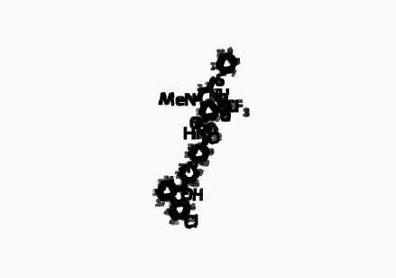 CNCCC(CSc1ccccc1)Nc1ccc(S(=O)(=O)NC(=O)c2ccc(N3CCC([C@@H](O)c4ccccc4-c4ccc(Cl)cc4)CC3)cc2)cc1S(=O)(=O)C(F)(F)F